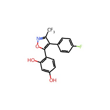 Oc1ccc(-c2onc(C(F)(F)F)c2-c2ccc(F)cc2)c(O)c1